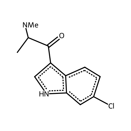 CNC(C)C(=O)c1c[nH]c2cc(Cl)ccc12